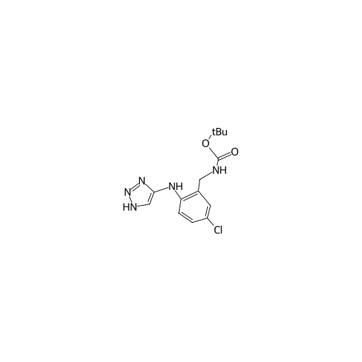 CC(C)(C)OC(=O)NCc1cc(Cl)ccc1Nc1c[nH]nn1